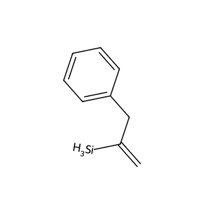 C=C([SiH3])Cc1ccccc1